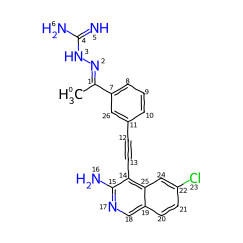 C/C(=N\NC(=N)N)c1cccc(C#Cc2c(N)ncc3ccc(Cl)cc23)c1